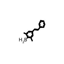 Bc1c(C)cc(C=Cc2ccccc2)cc1C